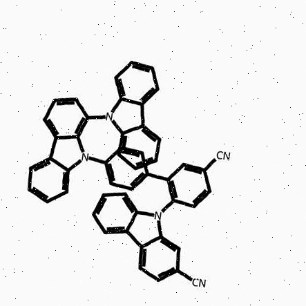 N#Cc1ccc(-n2c3ccccc3c3ccc(C#N)cc32)c(-c2ccc(-n3c4ccccc4c4cccc(-n5c6ccccc6c6ccccc65)c43)cc2)c1